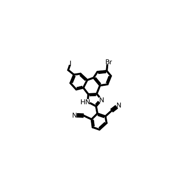 N#Cc1cccc(C#N)c1-c1nc2c3ccc(Br)cc3c3cc(CI)ccc3c2[nH]1